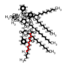 CCCCCCCCCCC[C@H](CC(=O)N[C@H]1[C@H](OC[C@H](NC(=O)C[C@@H](CCCCCCCCCCC)OC(=O)CCCCCCCCC)C(=O)OCc2ccccc2)O[C@H](CO[Si](C)(C)C(C)(C)C)[C@@H](OP(=O)(Oc2ccccc2)Oc2ccccc2)[C@@H]1OC(=O)C[C@@H](CCCCCCCCCCC)OC(=O)CCCCCCCCC)OC(=O)CCCCCCCCC